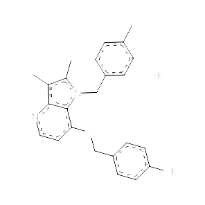 Cc1ccc(Cn2c(C)c(C)c3nccc(OCc4ccc(Cl)cc4)c32)cc1.Cl